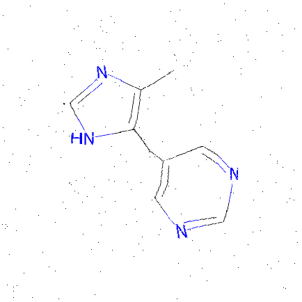 Cc1n[c][nH]c1-c1cncnc1